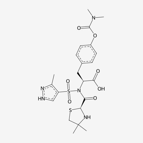 Cc1n[nH]cc1S(=O)(=O)N(C(=O)[C@H]1NC(C)(C)CS1)[C@@H](Cc1ccc(OC(=O)N(C)C)cc1)C(=O)O